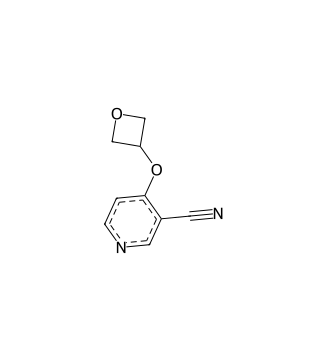 N#Cc1cnccc1OC1COC1